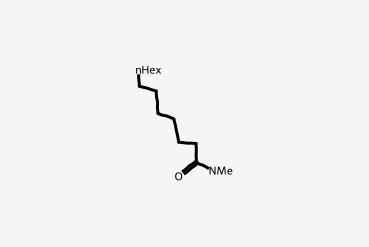 [CH2]NC(=O)CCCCCCCCCCCC